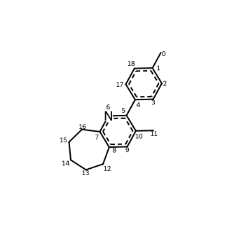 Cc1ccc(-c2nc3c(cc2C)CCCCC3)cc1